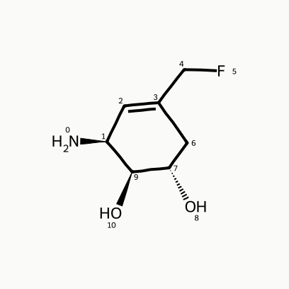 N[C@H]1C=C(CF)C[C@H](O)[C@H]1O